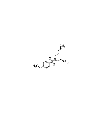 C=CCCCN(CC=C)S(=O)(=O)c1ccc(C=C)cc1